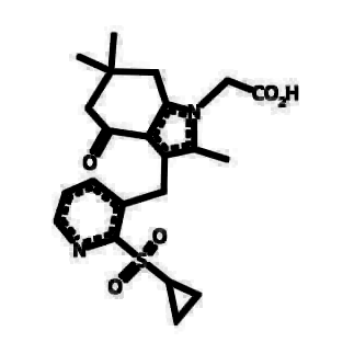 Cc1c(Cc2cccnc2S(=O)(=O)C2CC2)c2c(n1CC(=O)O)CC(C)(C)CC2=O